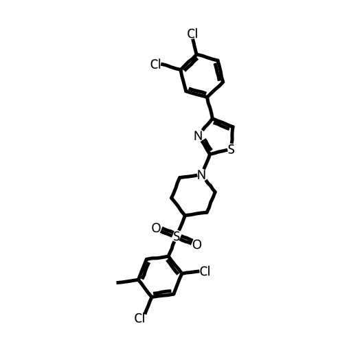 Cc1cc(S(=O)(=O)C2CCN(c3nc(-c4ccc(Cl)c(Cl)c4)cs3)CC2)c(Cl)cc1Cl